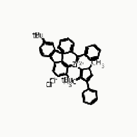 CC1=[C]([Zr+2](=[C](c2ccccc2)c2ccccc2)[c]2c(C(C)(C)C)ccc3c2Cc2cc(C(C)(C)C)ccc2-3)C(C)C=C1c1ccccc1.[Cl-].[Cl-]